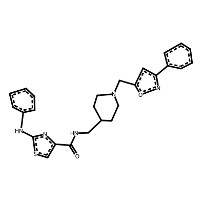 O=C(NCC1CCN(Cc2cc(-c3ccccc3)no2)CC1)c1csc(Nc2ccccc2)n1